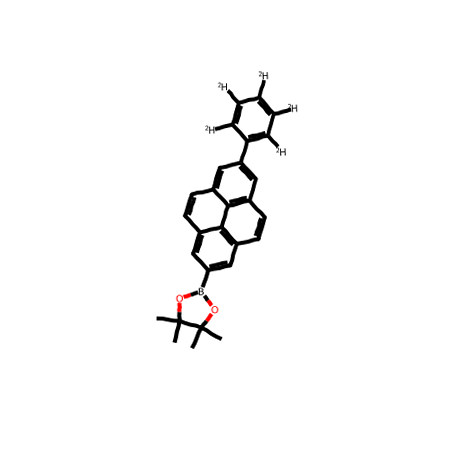 [2H]c1c([2H])c([2H])c(-c2cc3ccc4cc(B5OC(C)(C)C(C)(C)O5)cc5ccc(c2)c3c45)c([2H])c1[2H]